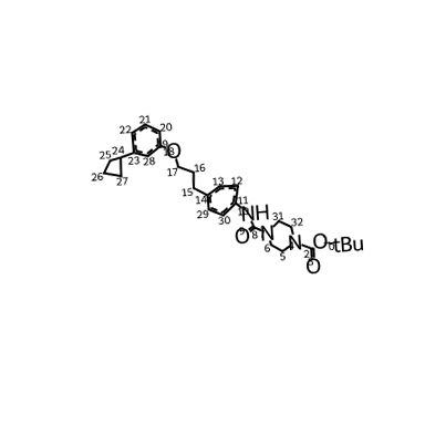 CC(C)(C)OC(=O)N1CCN(C(=O)Nc2ccc(CCCOc3cccc(C4CCC4)c3)cc2)CC1